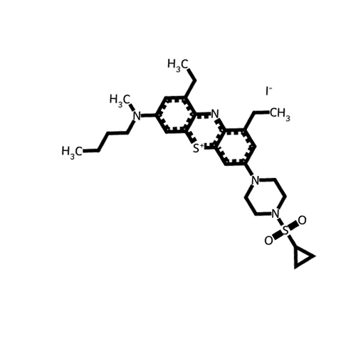 CCCCN(C)c1cc(CC)c2nc3c(CC)cc(N4CCN(S(=O)(=O)C5CC5)CC4)cc3[s+]c2c1.[I-]